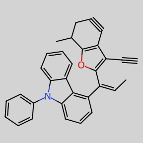 C#Cc1c(/C(=C\C)c2cccc3c2c2ccccc2n3-c2ccccc2)oc2c1C#CCC2C